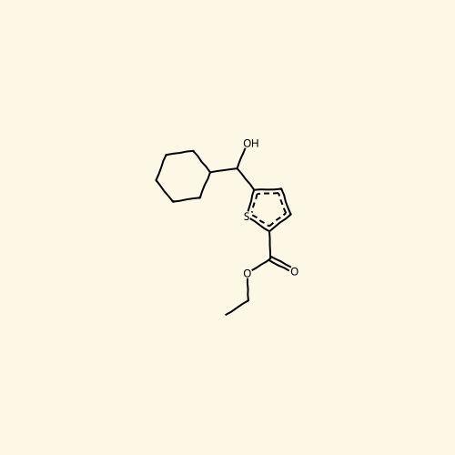 CCOC(=O)c1ccc(C(O)C2CCCCC2)s1